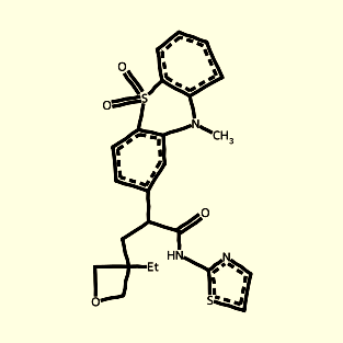 CCC1(CC(C(=O)Nc2nccs2)c2ccc3c(c2)N(C)c2ccccc2S3(=O)=O)COC1